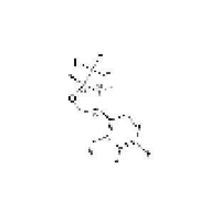 C=Cc1c([C@H]2CO[C@](C)(C(F)(F)F)[C@@H]2C)ccc(F)c1F